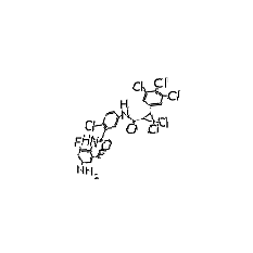 Nc1cc(F)c(NC(=O)c2cc(NC(=O)C3[C@H](c4cc(Cl)c(Cl)c(Cl)c4)C3(Cl)Cl)ccc2Cl)c(F)c1